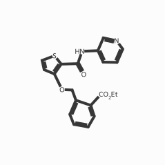 CCOC(=O)c1ccccc1COc1ccsc1C(=O)Nc1cccnc1